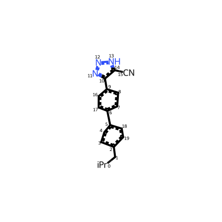 CC(C)Cc1ccc(-c2ccc(-c3nn[nH]c3C#N)cc2)cc1